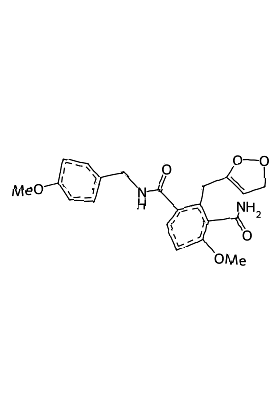 COc1ccc(CNC(=O)c2ccc(OC)c(C(N)=O)c2CC2=CCOO2)cc1